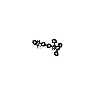 CCn1c(-c2ccc(-c3ccc(-c4nn5c(-c6ccccc6)cc6ccccc6c5c4-c4ccccc4)cc3)cc2)nc2ccccc21